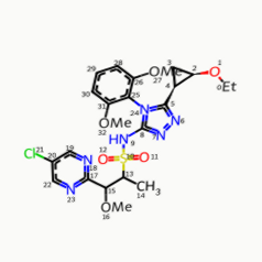 CCO[C@@H]1C[C@@H]1c1nnc(NS(=O)(=O)C(C)C(OC)c2ncc(Cl)cn2)n1-c1c(OC)cccc1OC